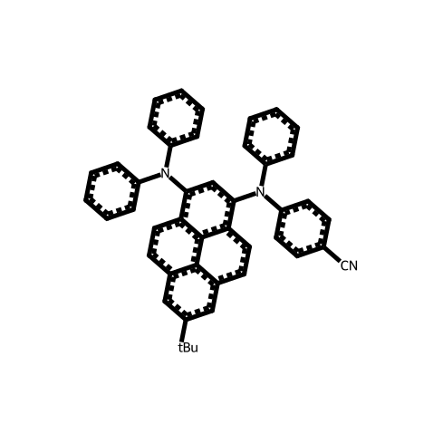 CC(C)(C)c1cc2ccc3c(N(c4ccccc4)c4ccccc4)cc(N(c4ccccc4)c4ccc(C#N)cc4)c4ccc(c1)c2c34